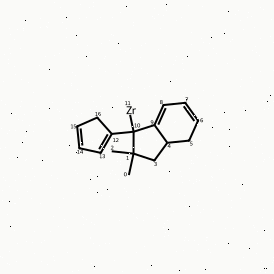 CC1(C)CC2CC=CC=C2[C]1([Zr])C1=CC=CC1